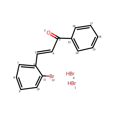 Br.Br.O=C(C=Cc1ccccc1Br)c1ccccc1